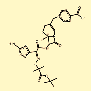 CC(C)(C)OC(=O)C(C)(C)ON=C(C(=O)NC1C(=O)N2C=C(C[n+]3ccc(C(=O)[O-])cc3)CS[C@@H]12)c1nsc(N)n1